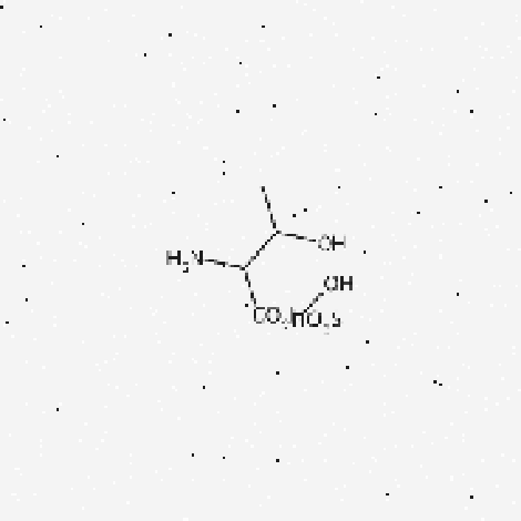 CC(O)C(N)C(=O)O.O=S(=O)(O)O